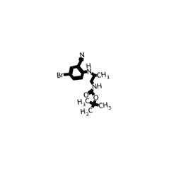 CC(CNC(=O)OC(C)(C)C)Nc1ccc(Br)cc1C#N